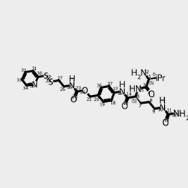 CC(C)[C@H](N)C(=O)N[C@@H](CCCNC(N)=O)C(=O)Nc1ccc(COC(=O)NCCSSc2ccccn2)cc1